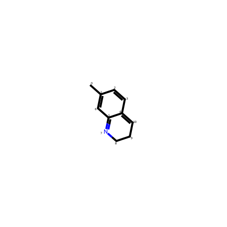 Cc1ccc2c(c1)=NCCC=2